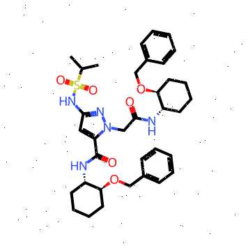 CC(C)S(=O)(=O)Nc1cc(C(=O)N[C@H]2CCCC[C@@H]2OCc2ccccc2)n(CC(=O)N[C@H]2CCCC[C@@H]2OCc2ccccc2)n1